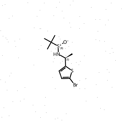 C[C@H](N[S@@+]([O-])C(C)(C)C)c1ccc(Br)s1